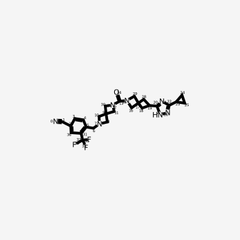 N#Cc1ccc(CN2CC3(C2)CN(C(=O)N2CC4(CC(c5nc(C6CC6)n[nH]5)C4)C2)C3)c(C(F)(F)F)c1